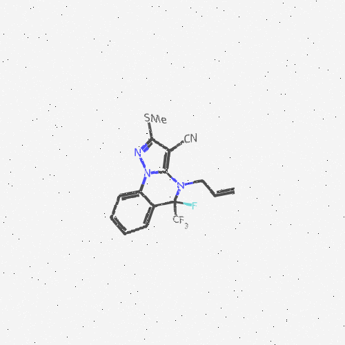 C=CCN1c2c(C#N)c(SC)nn2-c2ccccc2C1(F)C(F)(F)F